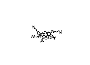 COc1c(OCCCCN(C)C)cc2oc3cc(OCCCCN(C)C)c(CC=C(C)C)c(O)c3c(=O)c2c1CC=C(C)C